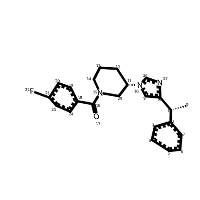 C[C@H](c1ccccc1)c1cn([C@H]2CCCN(C(=O)c3ccc(F)cc3)C2)cn1